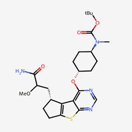 COC(C[C@H]1CCc2sc3ncnc(O[C@H]4CC[C@H](N(C)C(=O)OC(C)(C)C)CC4)c3c21)C(N)=O